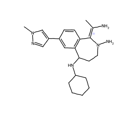 C/C(N)=C1\c2ccc(-c3cnn(C)c3)cc2C(NC2CCCCC2)CCN1N